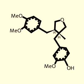 COc1cc(C[C@@]2(C)COC[C@@H]2Cc2ccc(OC)c(OC)c2)ccc1O